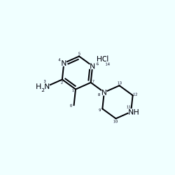 Cc1c(N)ncnc1N1CCNCC1.Cl